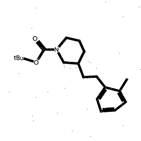 Cc1ccccc1CCC1CCCN(C(=O)OC(C)(C)C)C1